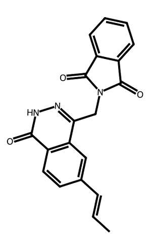 C/C=C/c1ccc2c(=O)[nH]nc(CN3C(=O)c4ccccc4C3=O)c2c1